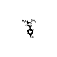 C=C1NC(c2ccc(O)cc2)=NN1N